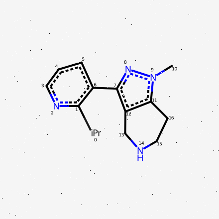 CC(C)c1ncccc1-c1nn(C)c2c1CNCC2